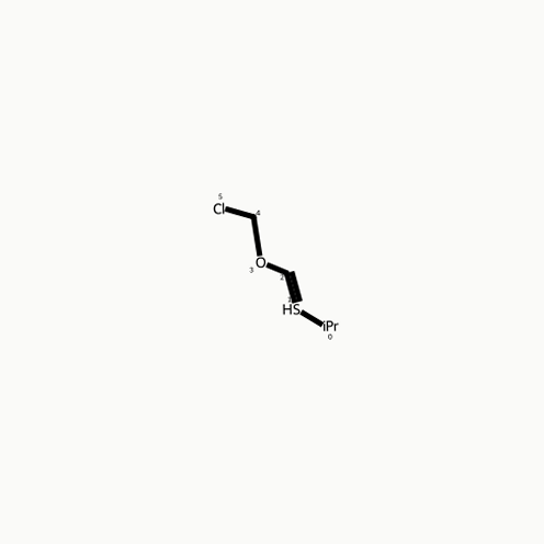 CC(C)[SH]=COCCl